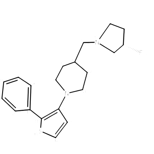 F[C@H]1CCN(CC2CCN(c3ccsc3-c3ccccc3)CC2)C1